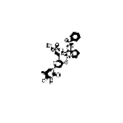 CCOP(=O)(/C=C/[C@H]1O[C@@H](n2cc(C)c(=O)[nH]c2=O)C[C@@H]1O[P@]1O[C@H](CS(=O)(=O)c2ccccc2)[C@@H]2CCCN21)OCC